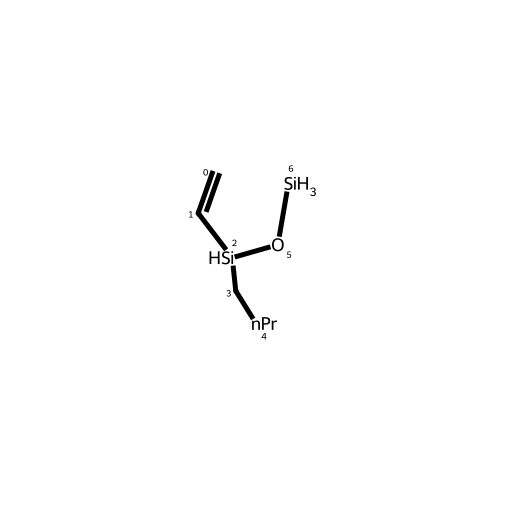 C=C[SiH](CCCC)O[SiH3]